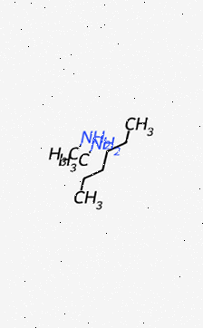 CCCCCC.CN.CN